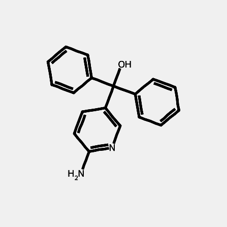 Nc1ccc(C(O)(c2ccccc2)c2ccccc2)cn1